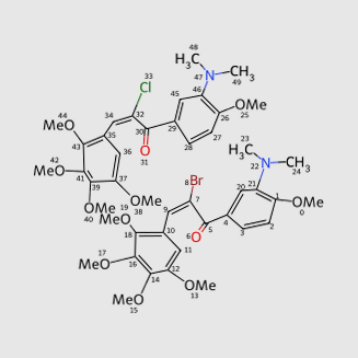 COc1ccc(C(=O)/C(Br)=C\c2cc(OC)c(OC)c(OC)c2OC)cc1N(C)C.COc1ccc(C(=O)/C(Cl)=C\c2cc(OC)c(OC)c(OC)c2OC)cc1N(C)C